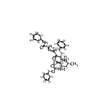 CC(C)CC(NC(=O)OCc1ccccc1)C(=O)NC(CCc1ccccc1)C(=O)c1nc(C(=O)Nc2ccccc2)co1